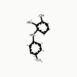 CCCCc1c(O)cccc1Nc1ccc(C)cc1